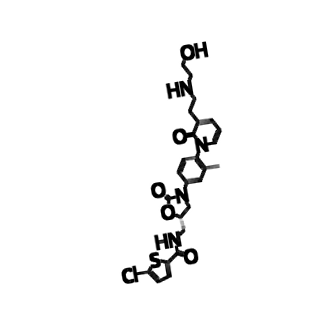 Cc1cc(N2C[C@H](CNC(=O)c3ccc(Cl)s3)OC2=O)ccc1-n1cccc(CCNCCO)c1=O